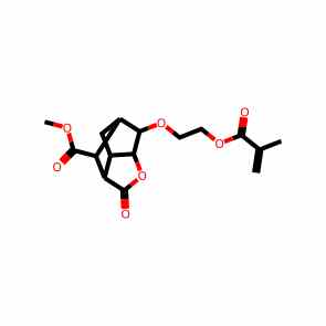 C=C(C)C(=O)OCCOC1C2CC3C1OC(=O)C3C2C(=O)OC